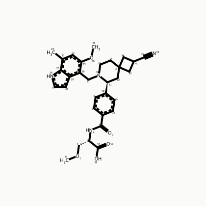 COC[C@H](NC(=O)c1ccc([C@@H]2CC3(CCN2Cc2c(OC)cc(C)c4[nH]ccc24)CC(C#N)C3)cc1)C(=O)O